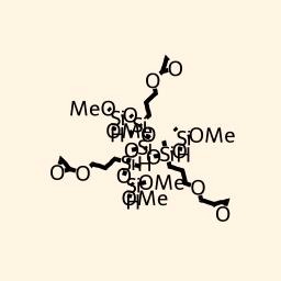 CO[SiH](C)O[Si](C)(CCCOCC1CO1)O[SiH](O[Si](C)(CCCOC1CO1)O[SiH](OC)OC)O[Si](C)(CCCOC1CO1)O[SiH](OC)OC